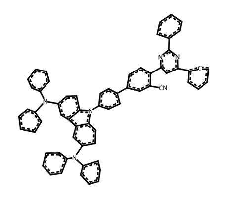 N#Cc1cc(-c2ccc(-n3c4ccc(N(c5ccccc5)c5ccccc5)cc4c4cc(N(c5ccccc5)c5ccccc5)ccc43)cc2)ccc1-c1cc(-c2ccccc2)nc(-c2ccccc2)n1